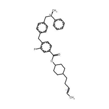 C/C=C/CCC1CCC(OC(=O)c2ccc(Cc3ccc(C[C@@H](C)c4ccccc4)cc3)c(F)c2)CC1